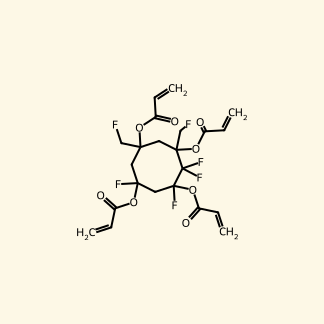 C=CC(=O)OC1(F)CC(CF)(OC(=O)C=C)CC(CF)(OC(=O)C=C)C(F)(F)C(F)(OC(=O)C=C)C1